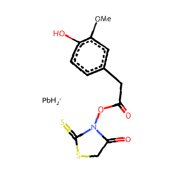 COc1cc(CC(=O)ON2C(=O)CSC2=S)ccc1O.[PbH2]